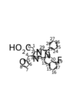 O=C(O)Cc1c(Cc2ccco2)nc2c(Cc3cccc(F)c3)nc(-c3ccccc3)cn12